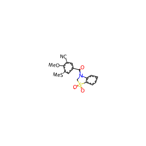 COc1c(C#N)cc(C(=O)N2CS(=O)(=O)c3ccccc32)cc1SC